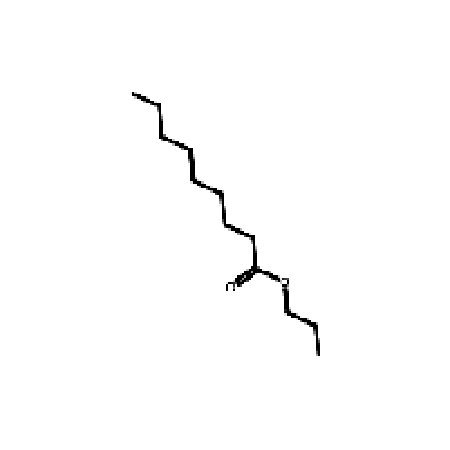 CCCCCCCCC(=O)OCCC